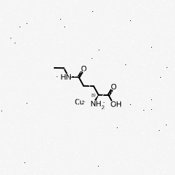 CCNC(=O)CC[C@H](N)C(=O)O.[Cu]